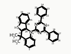 CC1(C)c2ccccc2N(c2nc(-c3ccccc3)nc(-c3ccccc3)n2)c2c1sc1ccccc21